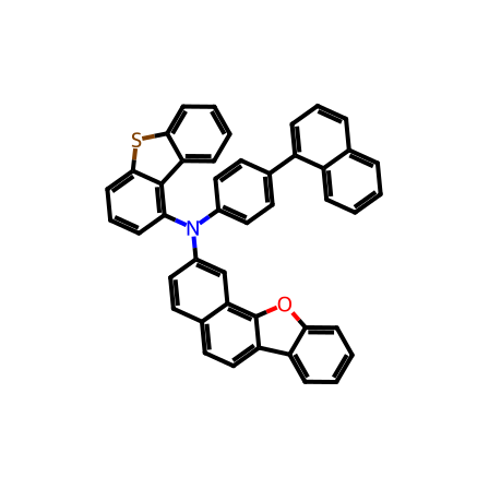 c1ccc2c(-c3ccc(N(c4ccc5ccc6c7ccccc7oc6c5c4)c4cccc5sc6ccccc6c45)cc3)cccc2c1